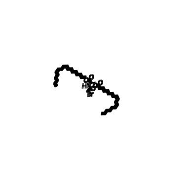 CCCCC/C=C\C/C=C\CCCCCCCCOC(=O)[C@H](COC(=O)CCCCCCC/C=C\C/C=C\CCCCC)NC(=O)CBr